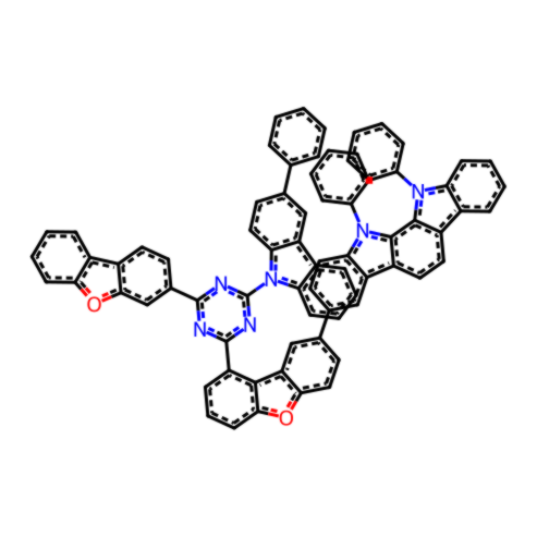 c1ccc(-c2ccc3c(c2)c2ccccc2n3-c2nc(-c3ccc4c(c3)oc3ccccc34)nc(-c3cccc4oc5ccc(-c6ccc7c(c6)c6ccc8c9ccccc9n(-c9ccccc9)c8c6n7-c6ccccc6)cc5c34)n2)cc1